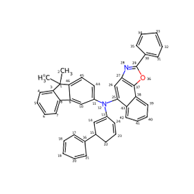 CC1(C)c2ccccc2-c2cc(N(C3=CC(c4ccccc4)CC=C3)c3cc4nc(-c5ccccc5)oc4c4ccccc34)ccc21